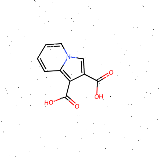 O=C(O)c1cn2ccccc2c1C(=O)O